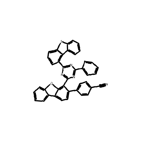 N#Cc1ccc(-c2ccc3c(oc4ccccc43)c2-c2nc(-c3ccccc3)nc(-c3cccc4sc5ccccc5c34)n2)cc1